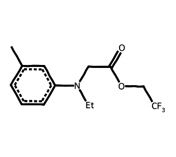 CCN(CC(=O)OCC(F)(F)F)c1cccc(C)c1